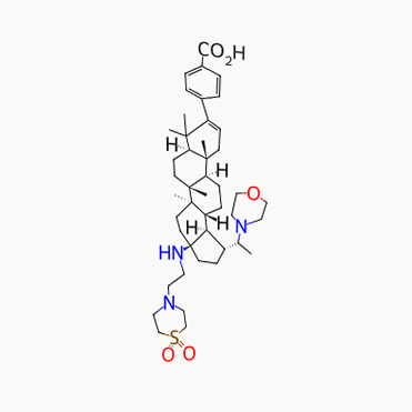 CC([C@@H]1CC[C@]2(NCCN3CCS(=O)(=O)CC3)CC[C@]3(C)[C@H](CC[C@@H]4[C@@]5(C)CC=C(c6ccc(C(=O)O)cc6)C(C)(C)[C@@H]5CC[C@]43C)[C@@H]12)N1CCOCC1